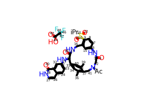 CC(=O)N1CC(=O)Nc2ccc(S(=O)(=O)C(C)C)c(c2)CNC(=O)C(Nc2ccc3cc[nH]c(=O)c3c2)c2cc(C)c(c(C)c2)C1.O=C(O)C(F)(F)F